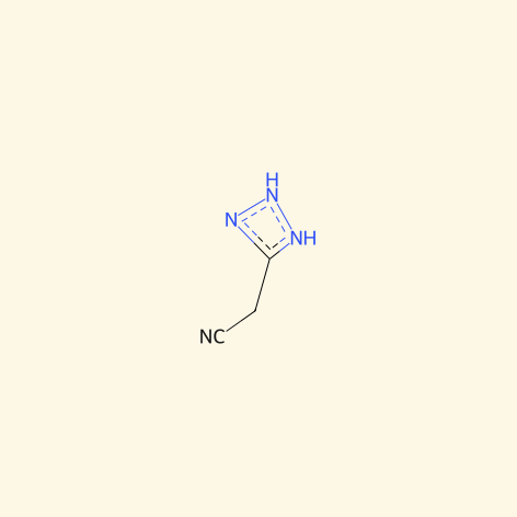 N#CCc1n[nH][nH]1